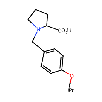 CC(C)Oc1ccc(CN2CCCC2C(=O)O)cc1